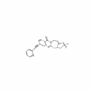 O=c1c2ccc(C#Cc3ccccn3)cc2nc2n1CCN1CC(F)(F)CC1C2